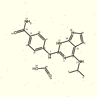 CC(C)Nc1nc(Nc2ccc(C(N)=O)cc2)[nH]c2nccc1-2.O=CO